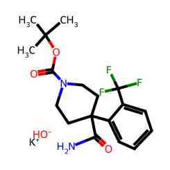 CC(C)(C)OC(=O)N1CCC(C(N)=O)(c2ccccc2C(F)(F)F)CC1.[K+].[OH-]